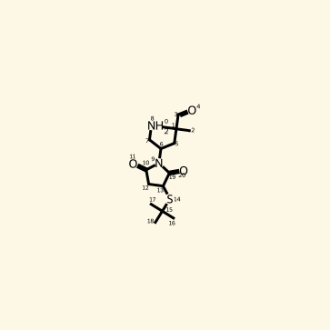 CC(C)(C=O)CC(CN)N1C(=O)CC(SC(C)(C)C)C1=O